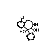 OC1NCCc2c(Cl)cccc2C1(O)c1ccccc1